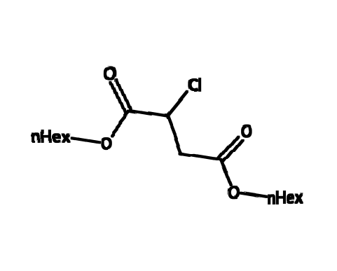 CCCCCCOC(=O)CC(Cl)C(=O)OCCCCCC